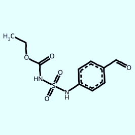 CCOC(=O)NS(=O)(=O)Nc1ccc(C=O)cc1